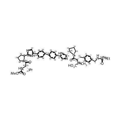 CCNC(=O)NCc1ccc(C[C@@H](C(=O)N2CCC[C@H]2c2ncc(-c3ccc(-c4ccc(-c5cnc(C6CCCN6C(=O)[C@@H](NC(=O)OC)C(C)C)[nH]5)cc4)cc3)[nH]2)N(C)C(=O)O)cc1